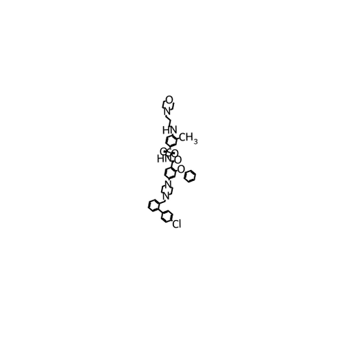 Cc1cc(S(=O)(=O)NC(=O)c2ccc(N3CCN(Cc4ccccc4-c4ccc(Cl)cc4)CC3)cc2Oc2ccccc2)ccc1NCCCN1CCOCC1